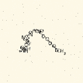 COCCOCCOCCOCCOCCC(=O)N1CCN(Cc2ccc(-c3cc4nccc(Oc5ccc(NC(=O)NC6CC6)cc5F)c4s3)nc2)CC1